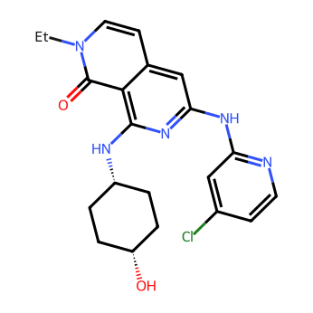 CCn1ccc2cc(Nc3cc(Cl)ccn3)nc(N[C@H]3CC[C@@H](O)CC3)c2c1=O